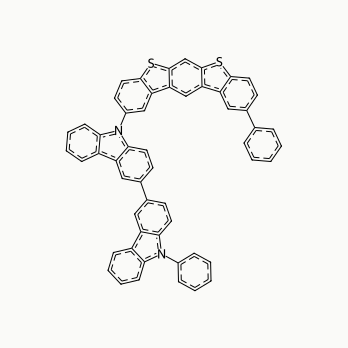 c1ccc(-c2ccc3sc4cc5sc6ccc(-n7c8ccccc8c8cc(-c9ccc%10c(c9)c9ccccc9n%10-c9ccccc9)ccc87)cc6c5cc4c3c2)cc1